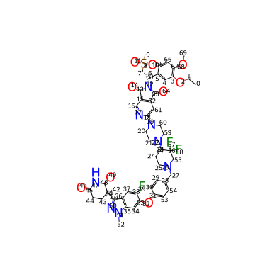 CCOc1cc([C@@H](CS(C)(=O)=O)N2C(=O)c3cnc(N4CCN([C@@H]5CCN(Cc6ccc(Oc7cc8c(cc7F)c([C@@]7(C)CCC(=O)NC7=O)nn8C)cc6)CC5(F)F)CC4)cc3C2=O)ccc1OC